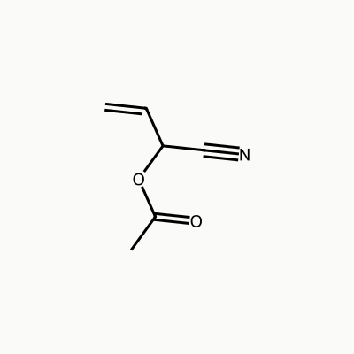 C=CC(C#N)OC(C)=O